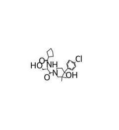 CC1(C)CN(C(=O)[C@@H](CO)NC(=O)C2CCCC2)CC[C@]1(O)c1ccc(Cl)cc1